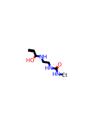 C=CC(O)NCCNC(=O)NCC